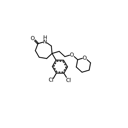 O=C1CCCC(CCOC2CCCCO2)(c2ccc(Cl)c(Cl)c2)CN1